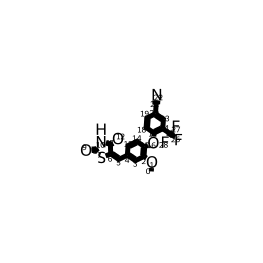 COc1cc(/C=C2/SC(=O)NC2=O)ccc1Oc1ccc(C#N)cc1C(F)(F)F